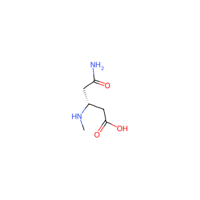 CN[C@H](CC(N)=O)CC(=O)O